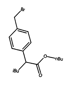 CCCCOC(=O)C(c1ccc(CBr)cc1)C(C)CC